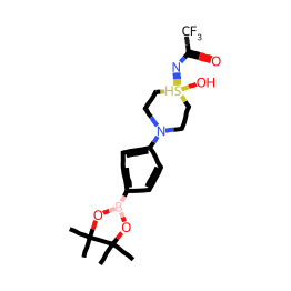 CC1(C)OB(c2ccc(N3CC[SH](O)(=NC(=O)C(F)(F)F)CC3)cc2)OC1(C)C